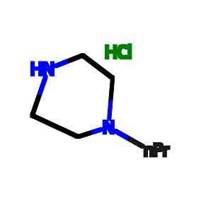 CCCN1CCNCC1.Cl